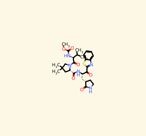 COC(=O)N[C@H](C(=O)N1CC(C)(C)C[C@H]1C(=O)N[C@@H](C[C@@H]1CCNC1=O)C(=O)c1nc2ccccc2s1)C(C)C